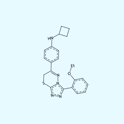 CCOc1ccccc1-c1nnc2n1N=C(c1ccc(NC3CCC3)cc1)CS2